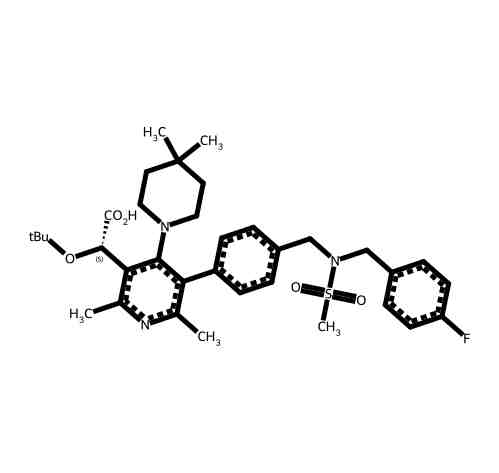 Cc1nc(C)c([C@H](OC(C)(C)C)C(=O)O)c(N2CCC(C)(C)CC2)c1-c1ccc(CN(Cc2ccc(F)cc2)S(C)(=O)=O)cc1